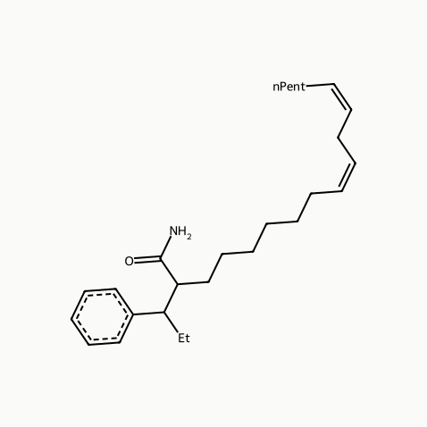 CCCCC/C=C\C/C=C\CCCCCCC(C(N)=O)C(CC)c1ccccc1